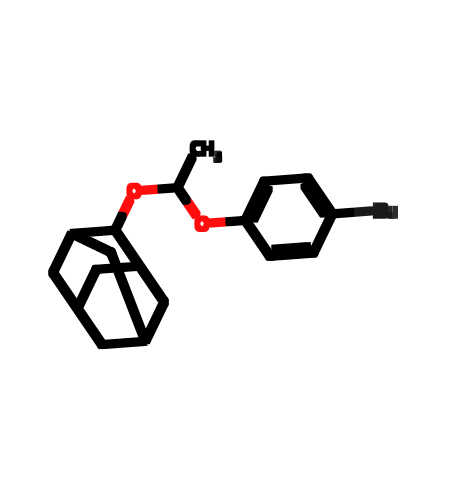 CCC(C)c1ccc(OC(C)OC2C3CC4CC(C3)CC2C4)cc1